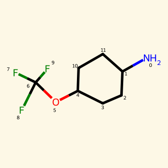 NC1CCC(OC(F)(F)F)CC1